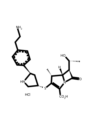 C[C@@H](O)[C@H]1C(=O)N2C(C(=O)O)=C(S[C@@H]3CN[C@@H](c4ccc(CCN)cc4)C3)[C@H](C)[C@H]12.Cl